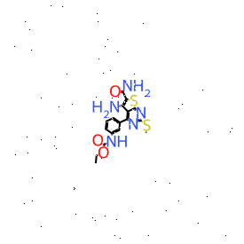 CCOC(=O)Nc1cccc(-c2nc(SC)nc3sc(C(N)=O)c(N)c23)c1